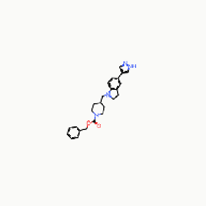 O=C(OCc1ccccc1)N1CCC(CN2CCc3cc(-c4cn[nH]c4)ccc32)CC1